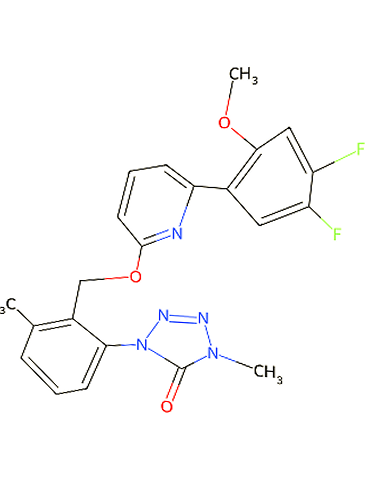 COc1cc(F)c(F)cc1-c1cccc(OCc2c(C)cccc2-n2nnn(C)c2=O)n1